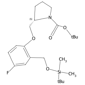 CC(C)(C)OC(=O)N1CCC[C@H]1COc1ccc(F)cc1CO[Si](C)(C)C(C)(C)C